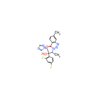 Cc1ccc2c(=O)n(C(C)C(O)(Cn3cncn3)c3ccc(F)cc3F)nnc2c1